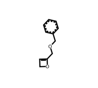 C1=C(COCc2ccccc2)OC1